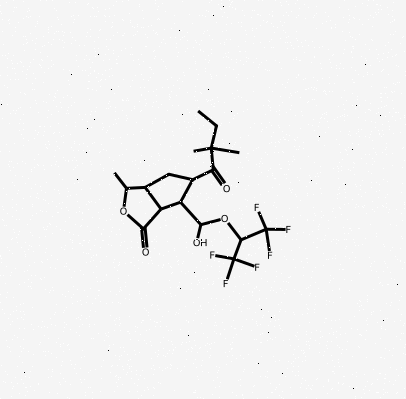 CCC(C)(C)C(=O)C1CC2C(C)OC(=O)C2C1C(O)OC(C(F)(F)F)C(F)(F)F